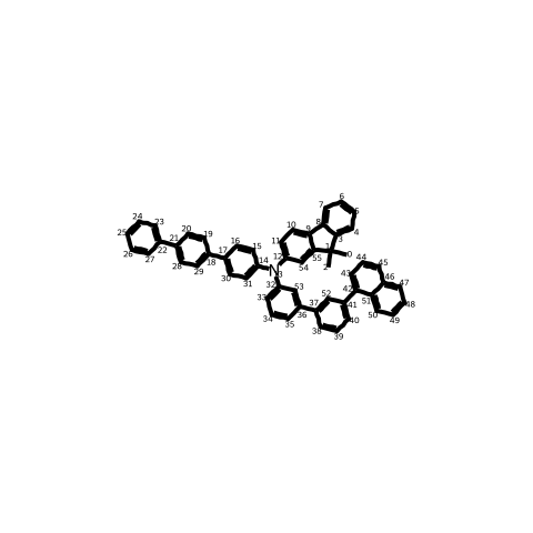 CC1(C)c2ccccc2-c2ccc(N(c3ccc(-c4ccc(-c5ccccc5)cc4)cc3)c3cccc(-c4cccc(-c5cccc6ccccc56)c4)c3)cc21